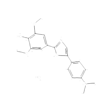 COc1cc(-c2ncc(-c3ccc(N(C)C)cc3)o2)cc(OC)c1O.Cl